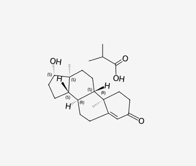 CC(C)C(=O)O.C[C@]12CC[C@H]3[C@@H](CCC4=CC(=O)CC[C@@]43C)[C@@H]1CC[C@@H]2O